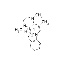 CC1=CN2C3=C(CCC=C3)C[C@H]2[C@@H]2C1N(C)CCN2C